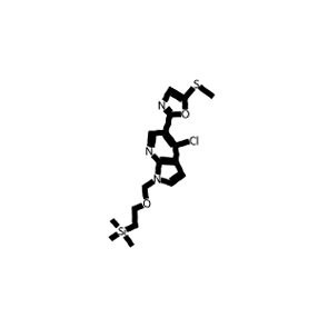 CSc1cnc(-c2cnc3c(ccn3COCC[Si](C)(C)C)c2Cl)o1